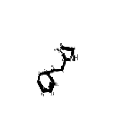 C1=CCC(CCC2=NCCN2)C=C1